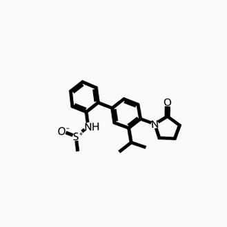 CC(C)c1cc(-c2ccccc2N[S+](C)[O-])ccc1N1CCCC1=O